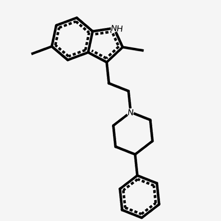 Cc1ccc2[nH]c(C)c(CCN3CCC(c4ccccc4)CC3)c2c1